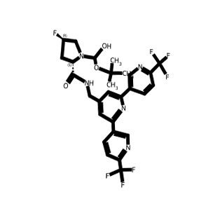 CC(C)(C)OC(O)N1C[C@H](F)C[C@H]1C(=O)NCc1cc(-c2ccc(C(F)(F)F)nc2)nc(-c2ccc(C(F)(F)F)nc2)c1